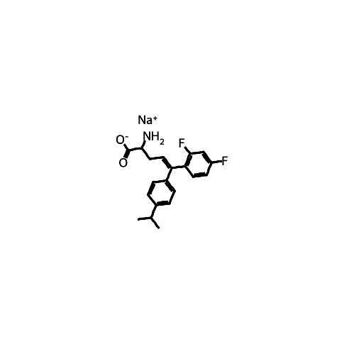 CC(C)c1ccc(/C(=C\CC(N)C(=O)[O-])c2ccc(F)cc2F)cc1.[Na+]